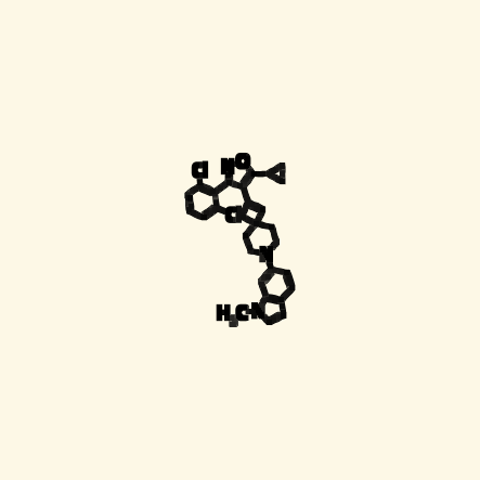 Cn1ccc2ccc(N3CCC4(C=C(c5c(-c6c(Cl)cccc6Cl)noc5C5CC5)C4)CC3)cc21